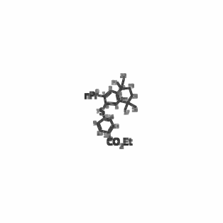 CCCc1cc2c(cc1Sc1ccc(C(=O)OCC)cc1)C(C)(C)CCC2(C)C